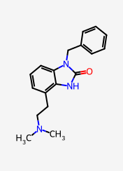 CN(C)CCc1cccc2c1[nH]c(=O)n2Cc1ccccc1